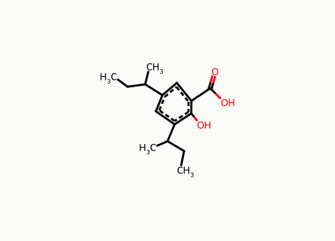 CCC(C)c1cc(C(=O)O)c(O)c(C(C)CC)c1